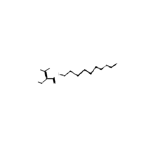 CCCCCCCCCCOC(=O)C(CC)=C(C)C